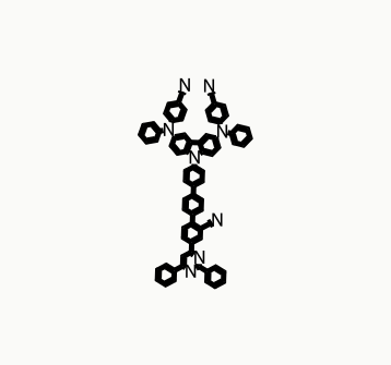 N#Cc1ccc(N(c2ccccc2)c2ccc3c(c2)c2cc(N(c4ccccc4)c4ccc(C#N)cc4)ccc2n3-c2ccc(-c3ccc(-c4ccc(-c5cc(-c6ccccc6)nc(-c6ccccc6)n5)cc4C#N)cc3)cc2)cc1